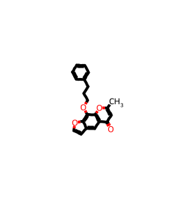 Cc1cc(=O)c2cc3ccoc3c(OCCCc3ccccc3)c2o1